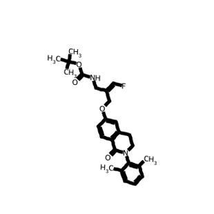 Cc1cccc(C)c1N1CCc2cc(OC/C(=C\F)CNC(=O)OC(C)(C)C)ccc2C1=O